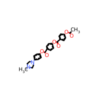 CC(=O)Oc1ccc(C(=O)Oc2ccc(C(=O)Oc3ccc(N4CCN(C)CC4)cc3)cc2)cc1